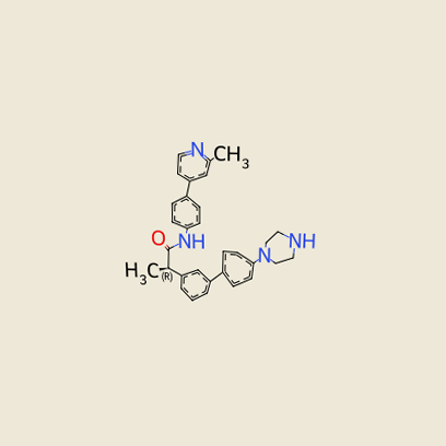 Cc1cc(-c2ccc(NC(=O)[C@H](C)c3cccc(-c4ccc(N5CCNCC5)cc4)c3)cc2)ccn1